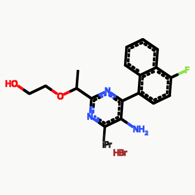 Br.CC(C)c1nc(C(C)OCCO)nc(-c2ccc(F)c3ccccc23)c1N